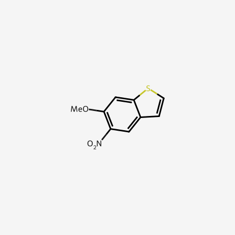 COc1cc2sccc2cc1[N+](=O)[O-]